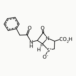 O=C(Cc1ccccc1)NC1C(=O)N2C(C(=O)O)C[S+]([O-])[C@@H]12